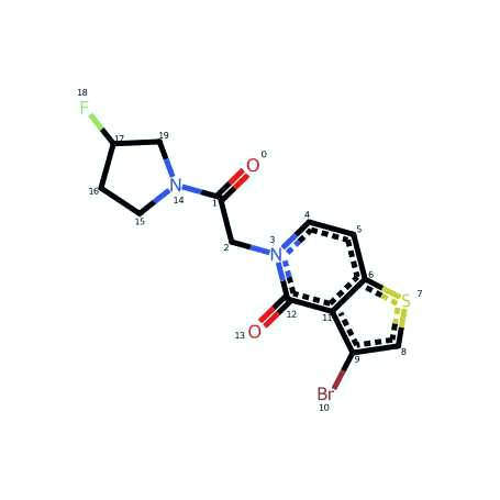 O=C(Cn1ccc2scc(Br)c2c1=O)N1CCC(F)C1